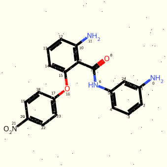 Nc1cccc(NC(=O)c2c(N)cccc2Oc2ccc([N+](=O)[O-])cc2)c1